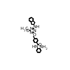 COc1nc(NC2Cc3ccccc3C2)nc(OCc2ccc(C(=O)Nc3ccccc3N)cc2)n1